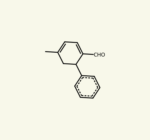 CC1=CC=C(C=O)C(c2ccccc2)C1